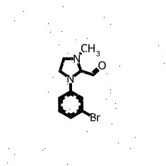 CN1CCN(c2cccc(Br)c2)C1C=O